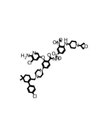 CC1(C)CCC(CN2CCN(c3ccc(C(=O)NS(=O)(=O)c4ccc(NC5CCN(C6COC6)CC5)c([N+](=O)[O-])c4)c(Oc4cnc(N)c(Cl)c4)c3)CC2)=C(c2ccc(Cl)cc2)C1